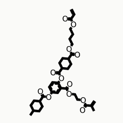 C=CC(=O)OCCCCOC(=O)C1CCC(C(=O)Oc2ccc(OC(=O)C3CCC(C)CC3)cc2C(=O)OCCOC(=O)C(=C)C)CC1